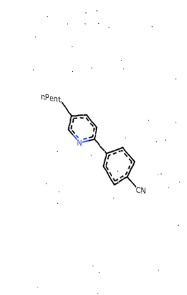 CCCCCc1ccc(-c2ccc(C#N)cc2)nc1